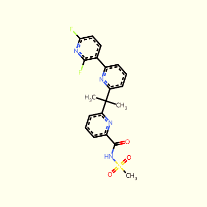 CC(C)(c1cccc(C(=O)NS(C)(=O)=O)n1)c1cccc(-c2ccc(F)nc2F)n1